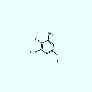 CCc1cc(N)c(OC)c(N)c1